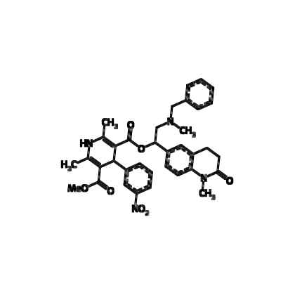 COC(=O)C1=C(C)NC(C)=C(C(=O)OC(CN(C)Cc2ccccc2)c2ccc3c(c2)CCC(=O)N3C)C1c1cccc([N+](=O)[O-])c1